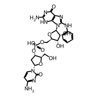 Nc1ccn([C@@H]2C[C@H](OP(=O)(O)OC[C@H]3O[C@@H](n4c(Nc5ccccc5)nc5c(=O)nc(N)[nH]c54)[C@H](O)[C@@H]3O)[C@@H](CO)O2)c(=O)n1